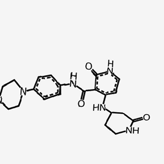 CN1CCN(c2ccc(NC(=O)c3c(NC4CCNC(=O)C4)cc[nH]c3=O)cc2)CC1